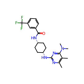 Cc1nc(N[C@H]2CC[C@@H](NC(=O)c3cccc(C(F)(F)F)c3)CC2)nc(N(C)C)c1C